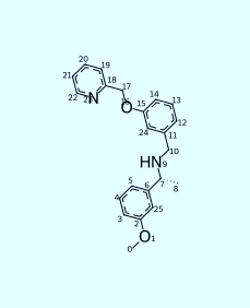 COc1cccc([C@@H](C)NCc2cccc(OCc3ccccn3)c2)c1